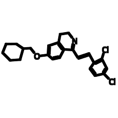 Clc1ccc(C=CC2=NCCc3cc(OCC4CCCCC4)ccc32)c(Cl)c1